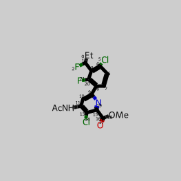 CCC(F)c1c(Cl)ccc(-c2cc(NC(C)=O)c(Cl)c(C(=O)OC)n2)c1F